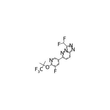 CC(C)(Oc1ncc(-c2ccc3nnc(C(F)F)n3n2)cc1F)C(F)(F)F